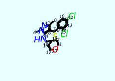 Cc1nn(C)c2c1C(c1ccc(Cl)cc1Cl)SC1(CCOCC1)CN2